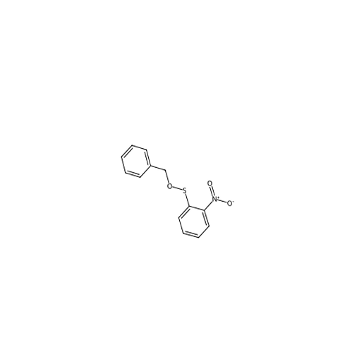 O=[N+]([O-])c1ccccc1SOCc1ccccc1